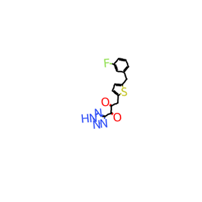 O=C(Cc1ccc(Cc2cccc(F)c2)s1)C(=O)c1nn[nH]n1